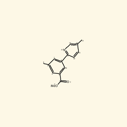 COC(=O)c1cc(C)cc(-c2ccc(C)cn2)c1